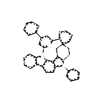 c1ccc(-c2cc(-c3ccccc3)nc(-n3c4ccccc4c4ccc5c(c6c(n5-c5ccccc5)CCCC6)c43)c2)cc1